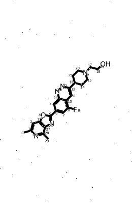 Cc1cc2oc(-c3cc(F)c4cc(C5CCN(CCO)CC5)nnc4c3)nc2c(C)n1